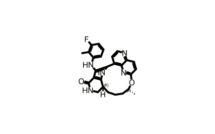 Cc1c(F)cccc1Nc1c2[nH]c3c1C(=O)NC[C@H]3CCC[C@@H](C)Oc1ccc3nccc-2c3n1